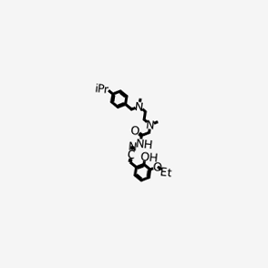 CCOc1cccc(C=C=NNC(=O)CN(C)CCN(C)Cc2ccc(C(C)C)cc2)c1O